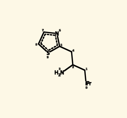 CC(C)CC(N)Cc1nccs1